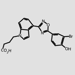 O=C(O)CCCn1ccc2c(-c3noc(-c4ccc(O)c(Br)c4)n3)cccc21